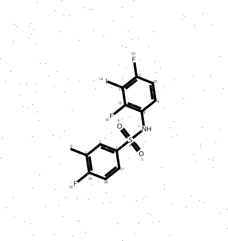 Cc1cc(S(=O)(=O)Nc2ccc(F)c(I)c2F)ccc1F